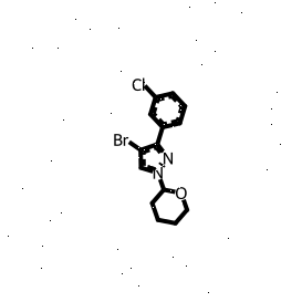 Clc1cccc(-c2nn(C3CCCCO3)cc2Br)c1